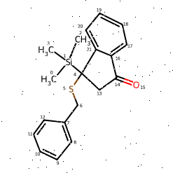 C[Si](C)(C)C1(SCc2ccccc2)CC(=O)c2ccccc21